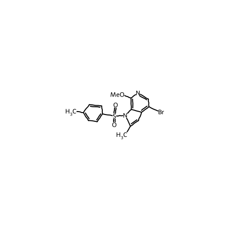 COc1ncc(Br)c2cc(C)n(S(=O)(=O)c3ccc(C)cc3)c12